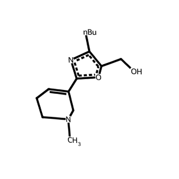 CCCCc1nc(C2=CCCN(C)C2)oc1CO